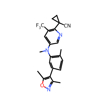 Cc1ccc(-c2c(C)noc2C)cc1N(C)c1cnc(C2(C#N)CC2)c(C(F)(F)F)c1